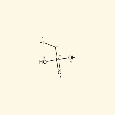 [CH]CCP(=O)(O)O